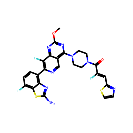 COc1nc(N2CCN(C(=O)/C(F)=C/c3nccs3)CC2)c2cnc(-c3ccc(F)c4sc(N)nc34)c(F)c2n1